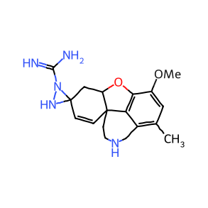 COc1cc(C)c2c3c1OC1CC4(C=CC31CCNC2)NN4C(=N)N